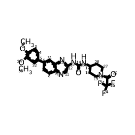 COc1ccc(-c2ccc3ncc(NC(=O)NC4CCN(C(=O)C(F)(F)F)CC4)nc3c2)cc1OC